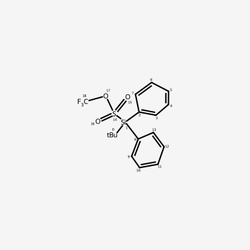 CC(C)(C)[Si](c1ccccc1)(c1ccccc1)S(=O)(=O)OC(F)(F)F